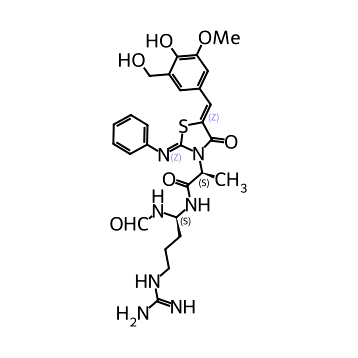 COc1cc(/C=C2\S/C(=N\c3ccccc3)N([C@@H](C)C(=O)N[C@@H](CCCNC(=N)N)NC=O)C2=O)cc(CO)c1O